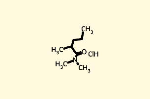 CCCC(C)C(=O)N(C)C.Cl